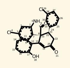 Nc1cc(Cl)ccc1[C@@]1(C=O)C(c2ccccc2O)=CC(=O)C[C@H]1c1cccc(Cl)c1